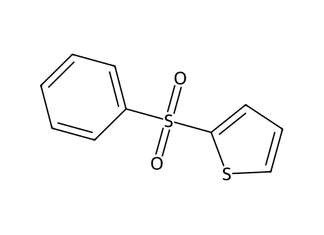 O=S(=O)(c1ccccc1)c1cccs1